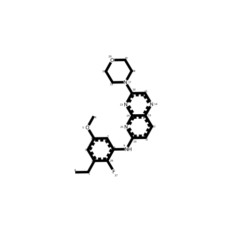 CCc1cc(OC)cc(Nc2ccc3ncc(N4CCOCC4)nc3n2)c1F